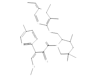 C\C=C(Cl)/C=N\C(NCC1C(C)CC(F)(F)CN1C(=O)C(=N)/C(=C\NC)c1ccc(F)cn1)=C(\C)CC